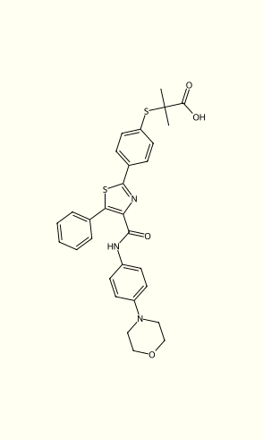 CC(C)(Sc1ccc(-c2nc(C(=O)Nc3ccc(N4CCOCC4)cc3)c(-c3ccccc3)s2)cc1)C(=O)O